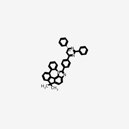 CC1(C)c2cccc3c2-c2c1ccc1nc(-c4ccc(C5=NC(c6ccccc6)=N[C@@H](c6ccccc6)C5)cc4)n(c21)-c1ccccc1-3